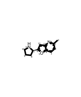 Cc1ccc2oc([C@H]3CCCN3)cc2n1